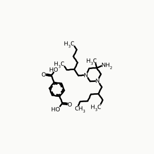 CCCCC(CC)CN1CN(CC(CC)CCCC)CC(C)(N)C1.O=C(O)c1ccc(C(=O)O)cc1